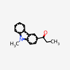 CCC(=O)c1ccc2c(c1)c1ccccc1n2C